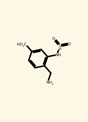 NCc1ccc(C(=O)O)cc1N[SH](=O)=O